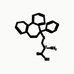 N[C@@H](CSC1(c2ccccc2)C=CC2=C(CCC=C2)c2ccccc21)C(=O)O